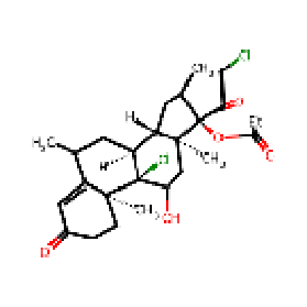 CCC(=O)O[C@]1(C(=O)CCl)C(C)C[C@H]2[C@@H]3CC(C)C4=CC(=O)CC[C@]4(C)[C@@]3(Cl)C(O)C[C@@]21C